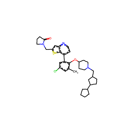 Cc1cc(Cl)cc(-c2ccnc3cc(CN4CCCC4=O)sc23)c1OC1CCN(CC2CCC(C3CCCC3)C2)CC1